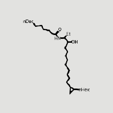 CCCCCCCCCCCCCCCC(=O)NC(CC)C(O)CCCCCCCCCC1CC1CCCCCC